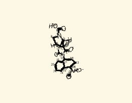 O=C1[C@@H]2[C@@H]3C[C@@H](CN3C(=O)O)N2C(=O)N1c1ccc([N+](=O)[O-])c2ccccc12